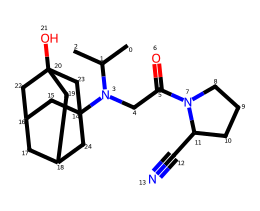 CC(C)N(CC(=O)N1CCCC1C#N)C12CC3CC(CC(O)(C3)C1)C2